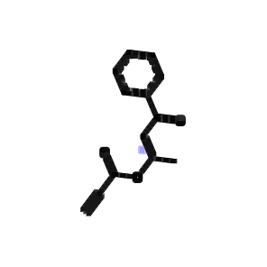 C#CC(=O)O/C(C)=C/C(=O)c1ccccc1